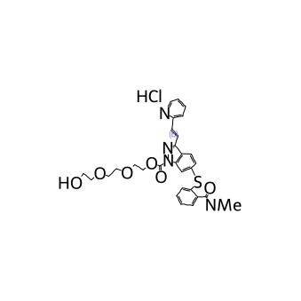 CNC(=O)c1ccccc1Sc1ccc2c(/C=C/c3ccccn3)nn(C(=O)OCCOCCOCCO)c2c1.Cl